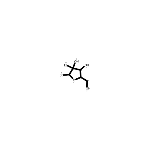 CCC1OC(CO)C(O)C1(O)CC